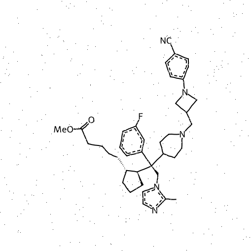 COC(=O)CCCC[C@H]1CCC[C@@H]1[C@](Cn1ccnc1C)(c1cccc(F)c1)C1CCN(CC2CN(c3ccc(C#N)cc3)C2)CC1